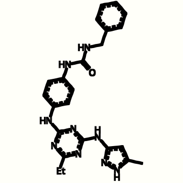 CCc1nc(Nc2ccc(NC(=O)NCc3ccccc3)cc2)nc(Nc2cc(C)[nH]n2)n1